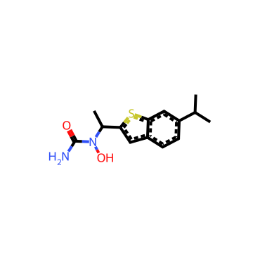 CC(C)c1ccc2cc(C(C)N(O)C(N)=O)sc2c1